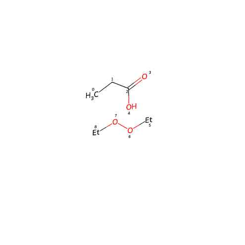 CCC(=O)O.CCOOCC